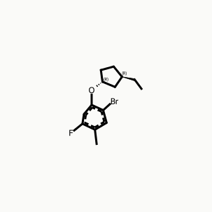 CC[C@@H]1CC[C@@H](Oc2cc(F)c(C)cc2Br)C1